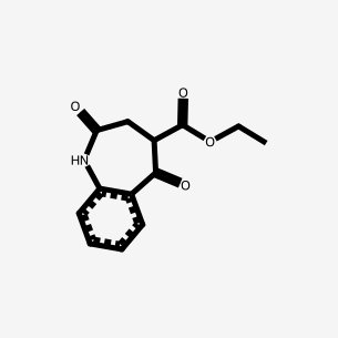 CCOC(=O)C1CC(=O)Nc2ccccc2C1=O